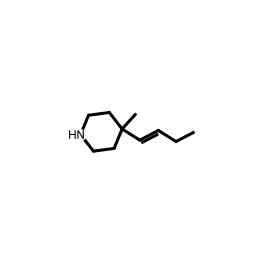 CC/C=C/C1(C)CCNCC1